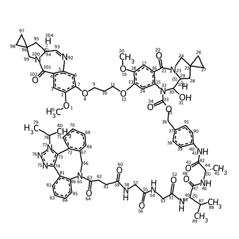 COc1cc2c(cc1OCCCOc1cc3c(cc1OC)C(=O)N1CC4(CC4)C[C@H]1C(O)N3C(=O)OCc1ccc(NC(=O)[C@H](C)NC(=O)[C@@H](NC(=O)CNC(=O)CNC(=O)CCC(=O)N3Cc4ccccc4-c4c(nnn4C(C)C)-c4ccccc43)C(C)C)cc1)N=C[C@@H]1CC3(CC3)CN1C2=O